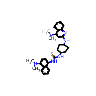 CN(C)c1cc(NC2CCC(NC(=S)Nc3ccc(N(C)C)c4ccccc34)CC2)nc2ccccc12